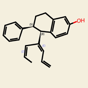 C=C/C=C(\C=C/C)[C@@H]1c2ccc(O)cc2CC[C@@H]1c1ccccc1